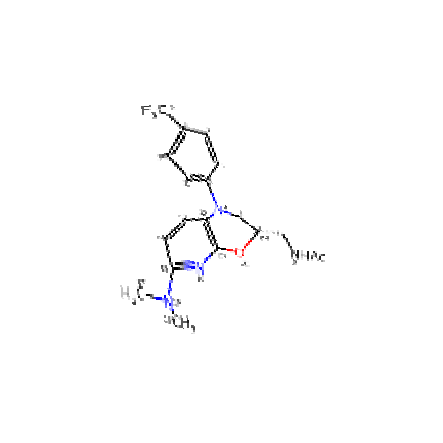 CC(=O)NC[C@H]1CN(c2ccc(C(F)(F)F)cc2)c2ccc(N(C)C)nc2O1